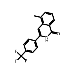 Cc1cccc2c(=O)[nH]c(-c3ccc(C(F)(F)F)cc3)cc12